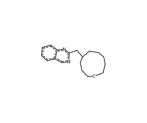 c1ccc2nc(CC3CCCCCCCCC3)ncc2c1